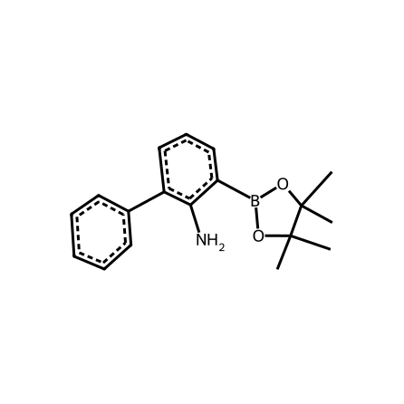 CC1(C)OB(c2cccc(-c3ccccc3)c2N)OC1(C)C